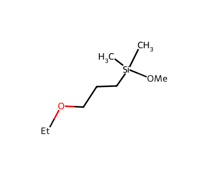 CCOCCC[Si](C)(C)OC